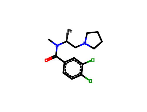 CC(C)[C@@H](CN1CCCC1)N(C)C(=O)c1ccc(Cl)c(Cl)c1